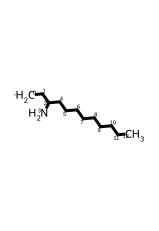 [CH2]CC(N)CCCCCCCCC